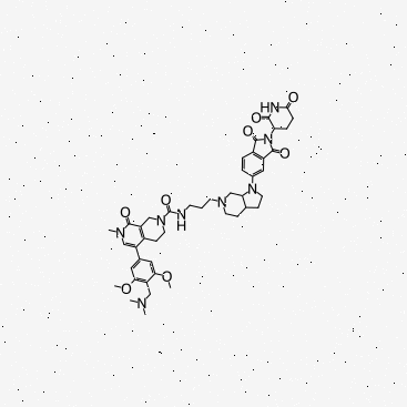 COc1cc(-c2cn(C)c(=O)c3c2CCN(C(=O)NCCCN2CCC4CCN(c5ccc6c(c5)C(=O)N(C5CCC(=O)NC5=O)C6=O)C4C2)C3)cc(OC)c1CN(C)C